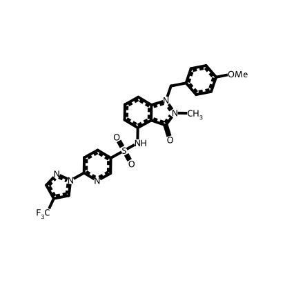 COc1ccc(Cn2c3cccc(NS(=O)(=O)c4ccc(-n5cc(C(F)(F)F)cn5)nc4)c3c(=O)n2C)cc1